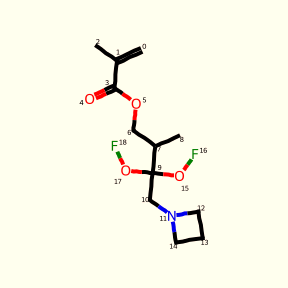 C=C(C)C(=O)OCC(C)C(CN1CCC1)(OF)OF